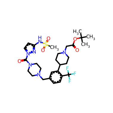 CC(C)(C)OC(=O)CN1CCC(c2cc(CN3CCN(C(=O)n4ccc(NS(C)(=O)=O)n4)CC3)ccc2C(F)(F)F)CC1